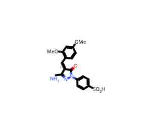 COc1ccc(/C=C2\C(=O)N(c3ccc(S(=O)(=O)O)cc3)N=C2C)c(OC)c1.N